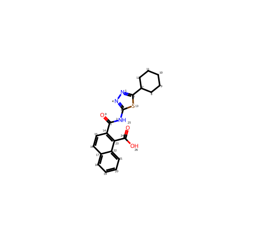 O=C(Nc1nnc(C2CCCCC2)s1)c1ccc2ccccc2c1C(=O)O